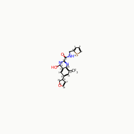 O=C(NCc1cccs1)c1nc(O)c2cc(C3C=COC3)cc(C(F)(F)F)c2n1